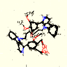 COc1cc(-c2nccc3c4ccccc4n(CCCCCCn4c5ccccc5c5ccnc(-c6cc(OC)c(OC)c(OC)c6)c54)c23)cc(CO)c1CO